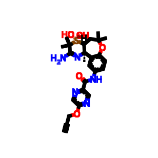 C#CCOc1cnc(C(=O)Nc2ccc3c(c2)[C@@]2(C)N=C(N)C(C)(C)S(O)(O)[C@@H]2CC(C)(C)O3)cn1